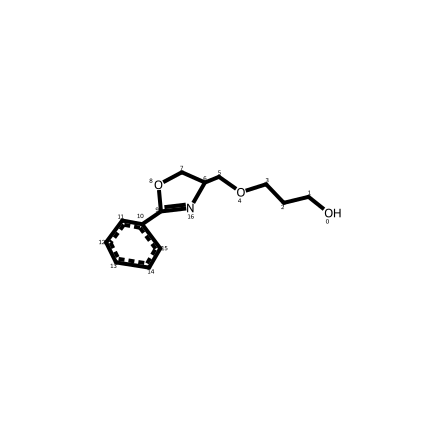 OCCCOCC1COC(c2ccccc2)=N1